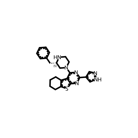 c1ccc(C[C@H]2CN(c3nc(-c4cn[nH]c4)nc4sc5c(c34)CCCC5)CCN2)cc1